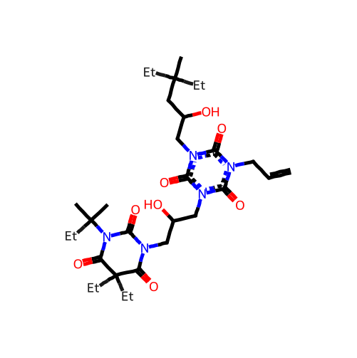 C=CCn1c(=O)n(CC(O)CN2C(=O)N(C(C)(C)CC)C(=O)C(CC)(CC)C2=O)c(=O)n(CC(O)CC(C)(CC)CC)c1=O